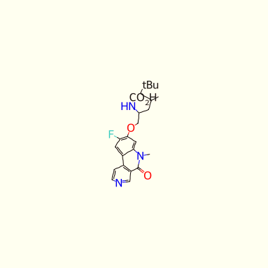 CC(CC(COc1cc2c(cc1F)c1ccncc1c(=O)n2C)NC(=O)O)CC(C)(C)C